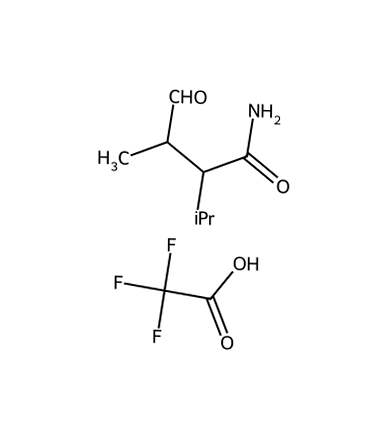 CC(C)C(C(N)=O)C(C)C=O.O=C(O)C(F)(F)F